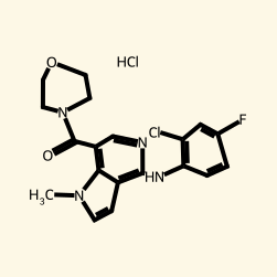 Cl.Cn1ccc2c(Nc3ccc(F)cc3Cl)ncc(C(=O)N3CCOCC3)c21